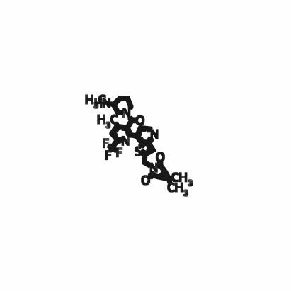 CNC1CCCN(C(=O)c2c(C)cc(C(F)(F)F)nc2-c2ccnc3cc(CN4C(=O)C5C(C4=O)C5(C)C)sc23)C1